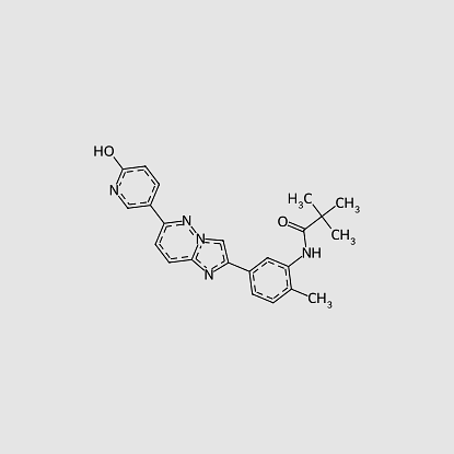 Cc1ccc(-c2cn3nc(-c4ccc(O)nc4)ccc3n2)cc1NC(=O)C(C)(C)C